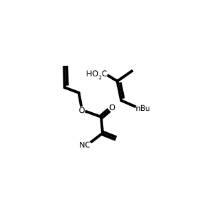 C=CCOC(=O)C(=C)C#N.CCCCC=C(C)C(=O)O